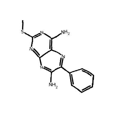 CSc1nc(N)c2nc(-c3ccccc3)c(N)nc2n1